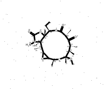 CC[C@H]1OC(=O)[C@H](C)C(=O)[C@H](C)[C@@H](C)[C@](C)(OC)C[C@@H](C)C2OC2[C@H](C)[C@H]2N(N)C(=O)O[C@]12C